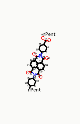 CCCCCOC(=O)C1CCC(N2C(=O)c3ccc4c5c(ccc(c35)C2=O)C(=O)N(C2CCC(CCCCC)CC2)C4=O)CC1